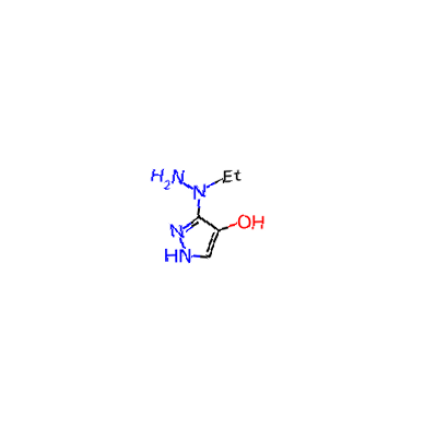 CCN(N)c1n[nH]cc1O